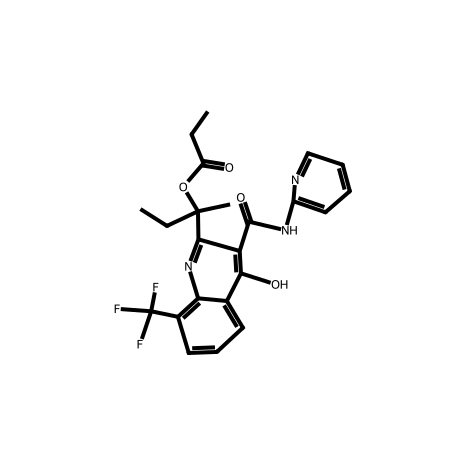 CCC(=O)OC(C)(CC)c1nc2c(C(F)(F)F)cccc2c(O)c1C(=O)Nc1ccccn1